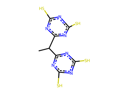 CC(c1nc(S)nc(S)n1)c1nc(S)nc(S)n1